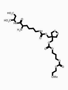 COCCOC(=O)OCCCOC(=O)OCC1(COC(=O)NCCCCC(N)C(=O)NC(CC(=O)O)C(=O)O)CSSC1